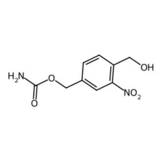 NC(=O)OCc1ccc(CO)c([N+](=O)[O-])c1